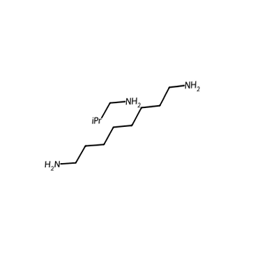 CC(C)CN.NCCCCCCCCN